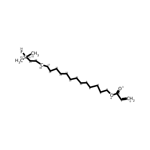 C=CC(=O)OCCCCCCCCCCCCCCCC[Si](C)(C)F